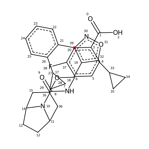 O=C(O)c1ccc(NC(=O)N2C3CCC2CC(OCc2c(-c4ccccc4C4CC4)noc2C2CC2)C3)c(F)c1